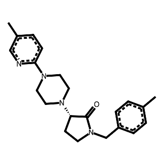 Cc1ccc(CN2CC[C@H](N3CCN(c4ccc(C)cn4)CC3)C2=O)cc1